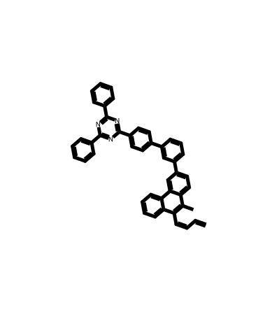 C=C/C=C\c1c(C)c2ccc(-c3cccc(-c4ccc(-c5nc(-c6ccccc6)nc(-c6ccccc6)n5)cc4)c3)cc2c2ccccc12